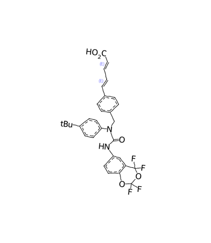 CC(C)(C)c1ccc(N(Cc2ccc(/C=C/C=C/C(=O)O)cc2)C(=O)Nc2ccc3c(c2)C(F)(F)OC(F)(F)O3)cc1